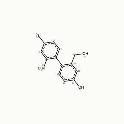 O=[N+]([O-])c1cc(Cl)ccc1-c1ccc(O)cc1CO